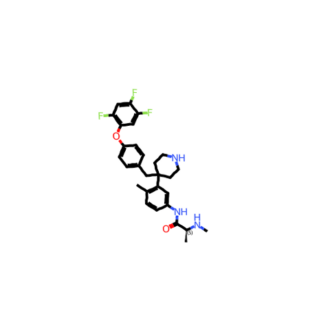 CN[C@@H](C)C(=O)Nc1ccc(C)c(C2(Cc3ccc(Oc4cc(F)c(F)cc4F)cc3)CCNCC2)c1